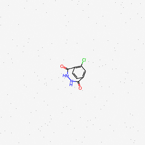 O=C1NNC(=O)c2ccc1cc2Cl